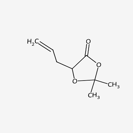 C=CCC1OC(C)(C)OC1=O